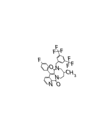 CC1CCn2c(c(-c3ccc(F)cc3)c3cccnc3c2=O)C(=O)N(Cc2cc(C(F)(F)F)cc(C(F)(F)F)c2)C1